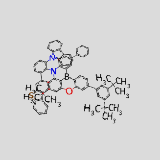 CC(C)(C)c1cc(-c2ccc3c(c2)Oc2cc(C(C)(C)C)cc4c2B3c2cc(-c3ccccc3)ccc2N4c2c(-c3ccc4c(c3)sc3ccccc34)cccc2-n2c3ccccc3c3ccccc32)cc(C(C)(C)C)c1